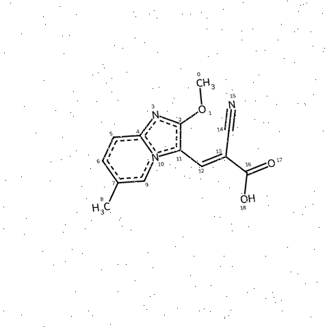 COc1nc2ccc(C)cn2c1/C=C(\C#N)C(=O)O